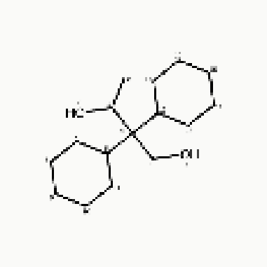 CC(O)C(CO)(C1CCCCC1)C1CCCCC1